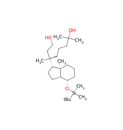 CC(C)(O)CCCC(C)(CCO)[C@H]1CCC2[C@@H](O[Si](C)(C)C(C)(C)C)CCC[C@@]21C